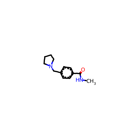 CNC(=O)c1ccc(CN2CCCC2)cc1